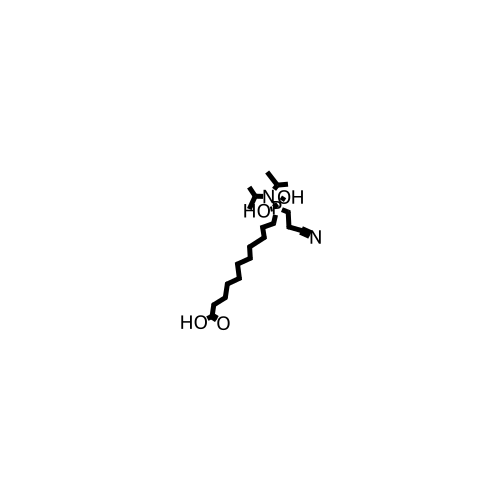 CC(C)N(C(C)C)P(O)(O)(CCC#N)CCCCCCCCCCC(=O)O